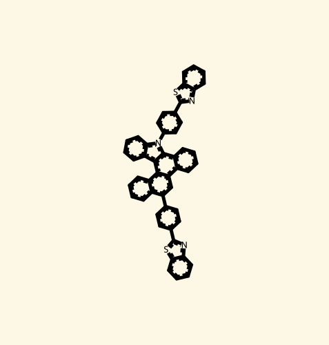 c1ccc2sc(-c3ccc(-c4cc5c6ccccc6c6c(c7ccccc7n6-c6ccc(-c7nc8ccccc8s7)cc6)c5c5ccccc45)cc3)nc2c1